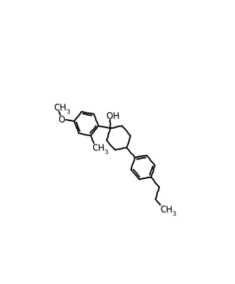 CCCc1ccc(C2CCC(O)(c3ccc(OC)cc3C)CC2)cc1